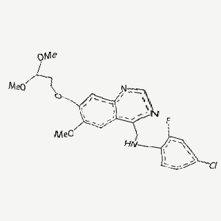 COc1cc2c(Nc3ccc(Cl)cc3F)ncnc2cc1OCC(OC)OC